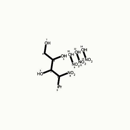 CC(C)C(C(O)C(O)CO)[N+](=O)[O-].O=[N+]([O-])O.O=[N+]([O-])O.O=[N+]([O-])O